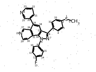 CSc1ccc(-c2nn(-c3ccc(F)cc3)c3c2cc(-c2cccnc2)c2cnccc23)cc1